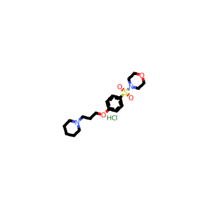 Cl.O=S(=O)(c1ccc(OCCCN2CCCCC2)cc1)N1CCOCC1